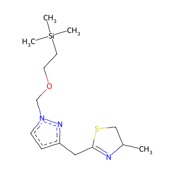 CC1CSC(Cc2ccn(COCC[Si](C)(C)C)n2)=N1